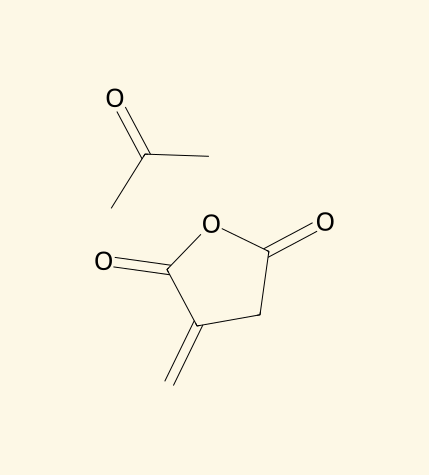 C=C1CC(=O)OC1=O.CC(C)=O